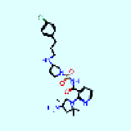 CC1(C)C[C@@](C)(N)CN1c1ncccc1C(=O)NS(=O)(=O)N1CC[C@@H](NCCCc2ccc(Cl)cc2)C1